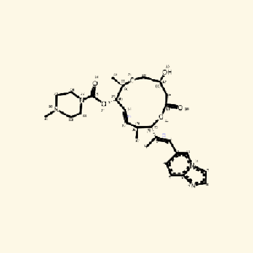 C/C(=C\c1ccc2nccn2c1)[C@H]1OC(=O)C[C@H](O)CC[C@H](C)[C@@H](OC(=O)N2CCN(C)CC2)/C=C/[C@@H]1C